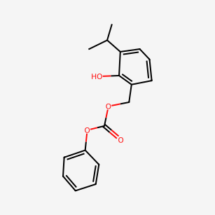 CC(C)c1cccc(COC(=O)Oc2ccccc2)c1O